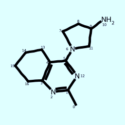 Cc1nc2c(c(N3CCC(N)C3)n1)CCCC2